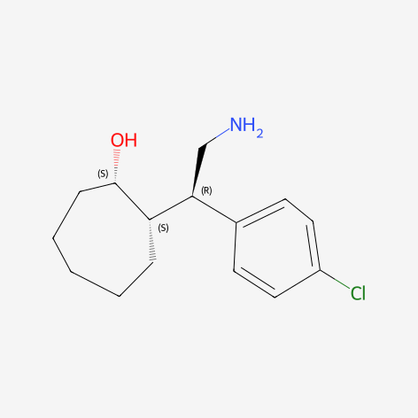 NC[C@@H](c1ccc(Cl)cc1)[C@@H]1CCCCC[C@@H]1O